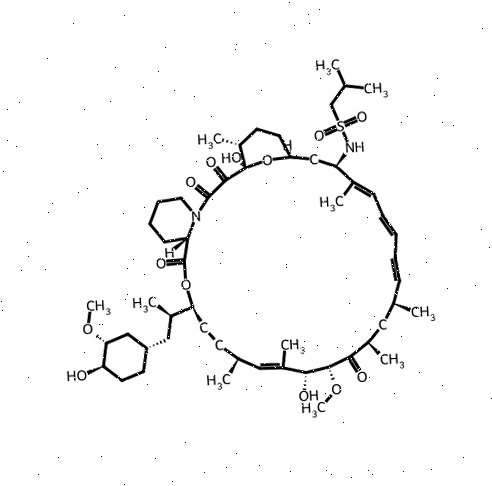 CO[C@@H]1C[C@H](C[C@@H](C)[C@@H]2CC[C@H](C)/C=C(\C)[C@@H](O)[C@@H](OC)C(=O)[C@H](C)C[C@H](C)/C=C/C=C/C=C(\C)[C@H](NS(=O)(=O)CC(C)C)C[C@@H]3CC[C@@H](C)[C@@](O)(O3)C(=O)C(=O)N3CCCC[C@H]3C(=O)O2)CC[C@H]1O